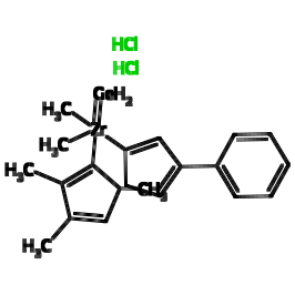 CC1=CC(C)[C]([Zr]([CH3])([CH3])(=[GeH2])[C]2=CC(c3ccccc3)=CC2)=C1C.Cl.Cl